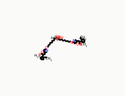 CCc1cccc(C)c1-c1cc2cnc(OCCCCCCCC[SiH](O)O[SiH](O)CCCCCCCCOc3cc4oc(=O)c(-c5c(C)cccc5CC)cc4cn3)cc2oc1=O